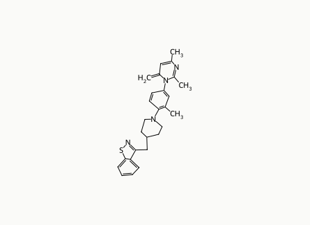 C=C1C=C(C)N=C(C)N1c1ccc(N2CCC(Cc3nsc4ccccc34)CC2)c(C)c1